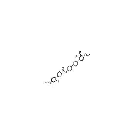 CCOc1ccc(C2=CCC(C3CCC(OC(=O)C4CCC(c5ccc(OCC)c(F)c5F)CC4)CC3)CC2)c(F)c1F